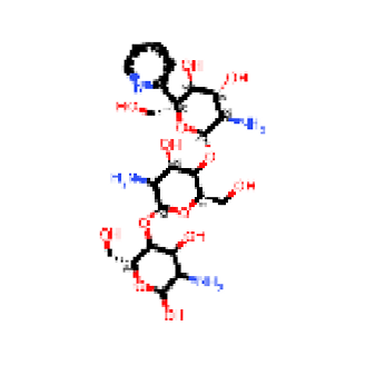 NC1C(O)O[C@H](CO)C(O[C@@H]2O[C@H](CO)C(O[C@@H]3O[C@@](CO)(c4ccccn4)[C@@H](O)[C@H](O)[C@H]3N)[C@H](O)C2N)C1O